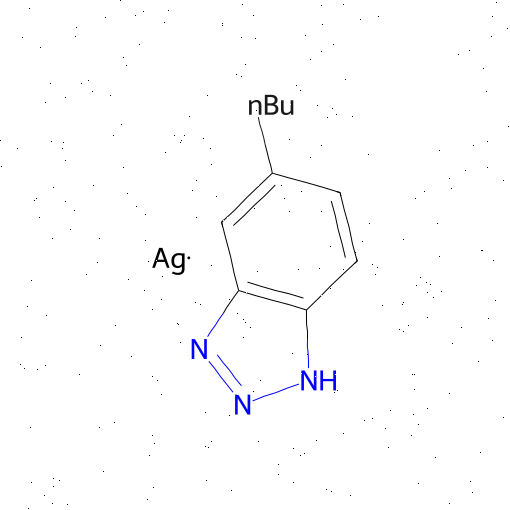 CCCCc1ccc2[nH]nnc2c1.[Ag]